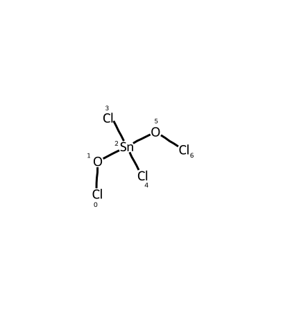 Cl[O][Sn]([Cl])([Cl])[O]Cl